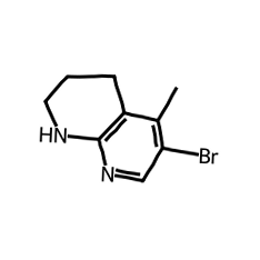 Cc1c(Br)cnc2c1CCCN2